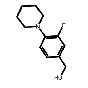 OCc1ccc(N2CCCCC2)c(Cl)c1